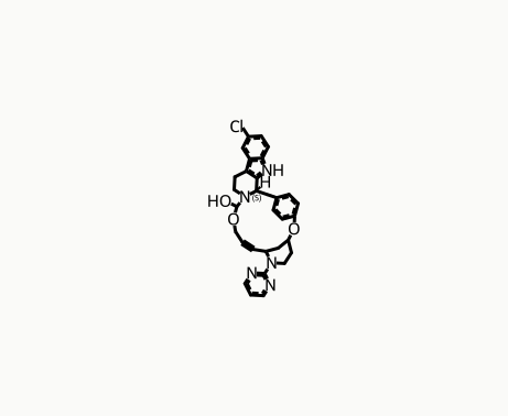 OC1OCC#CC2CC(CCN2c2ncccn2)Oc2ccc(cc2)[C@H]2c3[nH]c4ccc(Cl)cc4c3CCN12